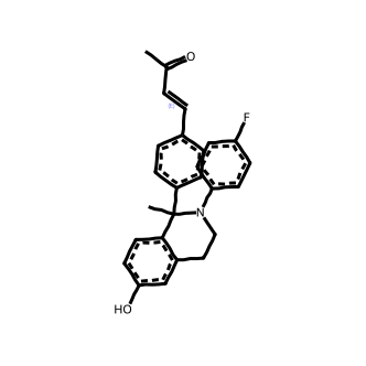 CC(=O)/C=C/c1ccc(C2(C)c3ccc(O)cc3CCN2c2ccc(F)cc2)cc1